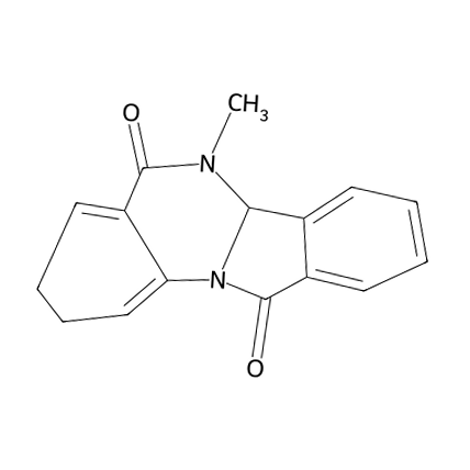 CN1C(=O)C2=CCCC=C2N2C(=O)c3ccccc3C12